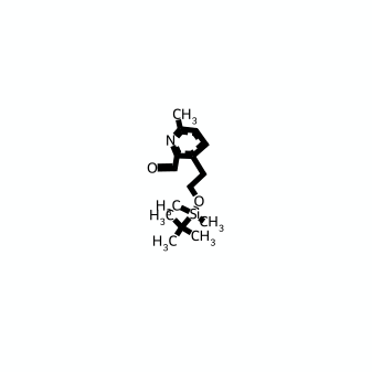 Cc1ccc(CCO[Si](C)(C)C(C)(C)C)c(C=O)n1